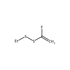 C=C(F)SSCC